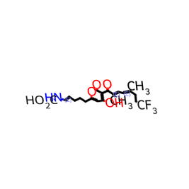 C/C(=C\C=C(/C)C(=O)c1c(O)cc(CCC/C=C/NC(=O)O)oc1=O)CCC(F)(F)F